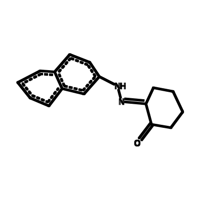 O=C1CCCC/C1=N\Nc1ccc2ccccc2c1